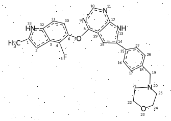 Cc1cc2c(F)c(Oc3ncnc4[nH]c(-c5ccc(CN6CCOCC6)cc5)cc34)ccc2[nH]1